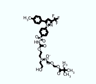 Cc1ccc(-c2cc(C(F)(F)F)nn2-c2ccc(S(=O)(=O)NC(=O)OCCN(CCO)[N+]([O-])=NOCOC(=O)C(C)(C)C)cc2)cc1